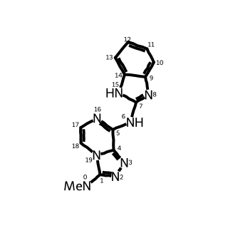 CNc1nnc2c(Nc3nc4ccccc4[nH]3)nccn12